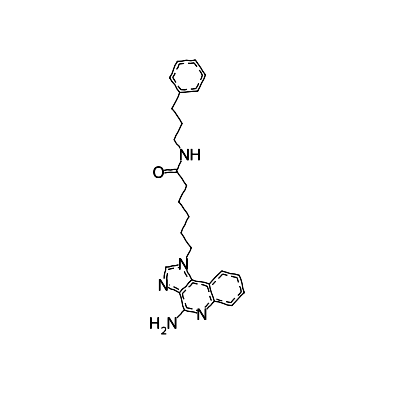 Nc1nc2ccccc2c2c1ncn2CCCCCC(=O)NCCCc1ccccc1